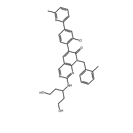 Cc1cccc(-c2ccc(-c3cc4cnc(NC(CCO)CCO)nc4n(Cc4ccccc4C)c3=O)c(Cl)c2)n1